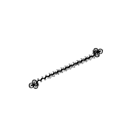 O=C1OCC(C/C=C/C=C/C=C/C=C/C=C/C=C/C=C/C=C/CC/C=C/C=C/C=C/C=C/CC2COC(=O)O2)O1